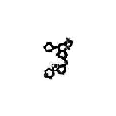 OC1(c2cccc(Sc3ccc4c(-c5ccccc5)cc5nccn5c4c3)c2)CCOCC1